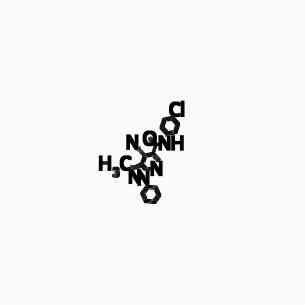 Cc1nn(-c2ccccc2)c2ncc(C(=O)Nc3ccc(Cl)cc3)c(C#N)c12